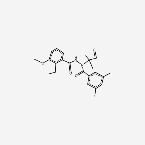 CCc1c(OC)cccc1C(=O)NN(C(=O)c1cc(C)cc(C)c1)C(C)(C)C=O